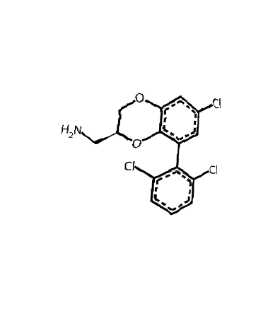 NC[C@H]1COc2cc(Cl)cc(-c3c(Cl)cccc3Cl)c2O1